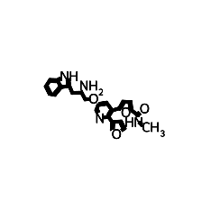 CNC(=O)c1ccc(-c2cc(OC[C@@H](N)Cc3c[nH]c4ccccc34)cnc2-c2ccoc2)o1